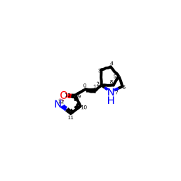 C(=CC12CCC(CN1)C2)c1ccno1